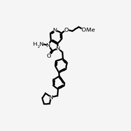 COCCOc1cc2c(cn1)n(N)c(=O)n2Cc1ccc(-c2ccc(CN3CCCC3)cc2)cc1